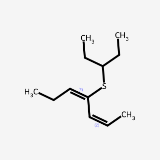 C/C=C\C(=C/CC)SC(CC)CC